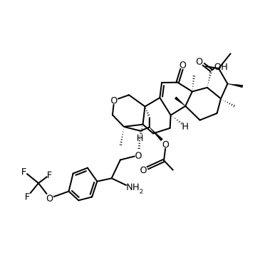 CC(=O)O[C@@H]1C[C@@]23COC[C@@](C)([C@@H]2CC[C@H]2C3=CC(=O)[C@@]3(C)[C@H](C(=O)O)[C@@](C)([C@H](C)C(C)C)CC[C@]23C)[C@H]1OCC(N)c1ccc(OC(F)(F)F)cc1